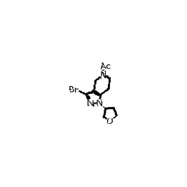 CC(=O)N1CCc2c(c(Br)nn2[C@@H]2CCOC2)C1